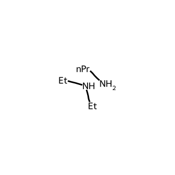 CCCN.CCNCC